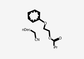 CC(C)C(=O)OCCOc1ccccc1.CCCCCCCCCCCC#N